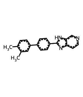 Cc1ccc(-c2ccc(-c3nc4ccncc4[nH]3)cc2)cc1C